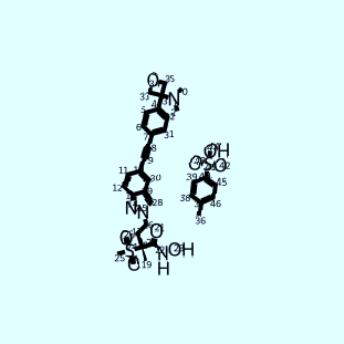 CN(C)C1(c2ccc(C#Cc3ccc4nn(CC[C@](C)(C(=O)NO)S(C)(=O)=O)cc4c3)cc2)COC1.Cc1ccc(S(=O)(=O)O)cc1